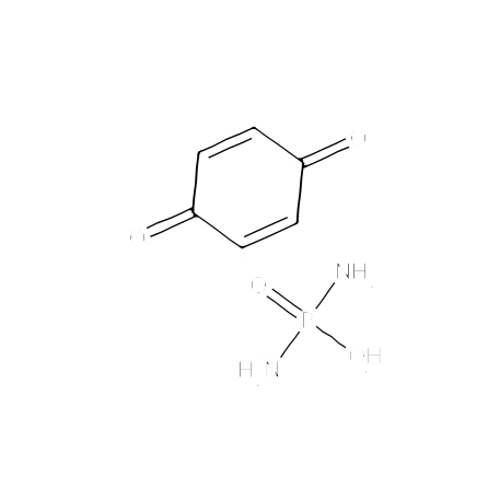 NP(N)(=O)O.O=C1C=CC(=O)C=C1